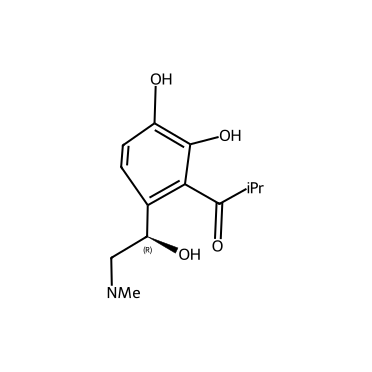 CNC[C@H](O)c1ccc(O)c(O)c1C(=O)C(C)C